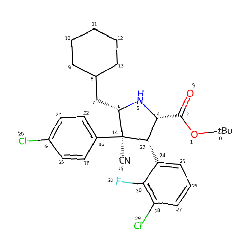 CC(C)(C)OC(=O)[C@H]1N[C@@H](CC2CCCCC2)[C@](C#N)(c2ccc(Cl)cc2)[C@H]1c1cccc(Cl)c1F